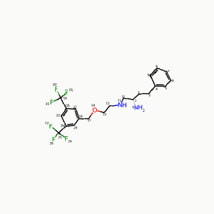 N[C@@H](CCc1ccccc1)CNCCOCc1cc(C(F)(F)F)cc(C(F)(F)F)c1